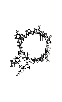 C=CCOC(=O)NCCCC[C@@H]1NC(=O)[C@H](CCc2ccc(C(F)(F)F)cc2)NC(=O)CN(C)C(=O)[C@H](Cc2ccc(Cl)cc2)N(C)C(=O)CN(C)C(=O)CN(C)C(=O)[C@H]([C@@H](C)CC)NC(=O)[C@H](CC(C)C)N(C)C(=O)C[C@@H](C)N(C)C(=O)[C@H](CC(C)C)NC(=O)C(C)(C)N(C)C1=O